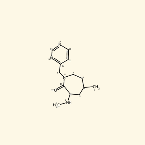 CNC1CC(C)CCN(Cc2ccncn2)C1=O